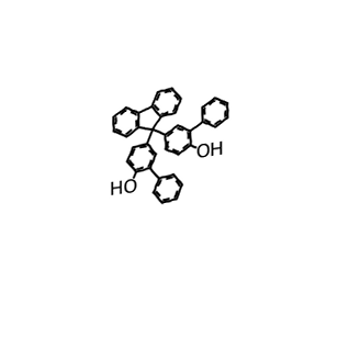 Oc1ccc(C2(c3ccc(O)c(-c4ccccc4)c3)c3ccccc3-c3ccccc32)cc1-c1ccccc1